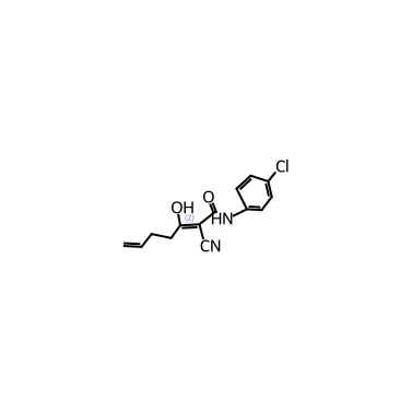 C=CCC/C(O)=C(\C#N)C(=O)Nc1ccc(Cl)cc1